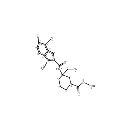 Cn1c(C(=O)NC2(CC#N)CCCN(C(=O)OC(C)(C)C)C2)cc2c(Cl)c(Cl)ccc21